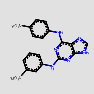 CCOC(=O)c1cccc(Nc2nc(Nc3ccc(C(=O)O)cc3)c3nc[nH]c3n2)c1